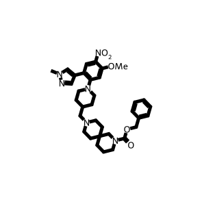 COc1cc(N2CCC(CN3CCC4(CCCN(C(=O)OCc5ccccc5)C4)CC3)CC2)c(-c2cnn(C)c2)cc1[N+](=O)[O-]